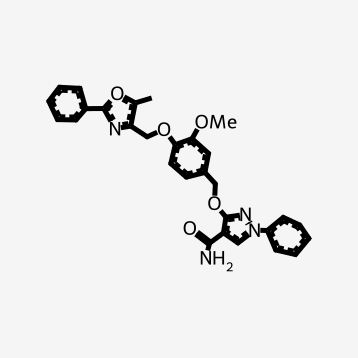 COc1cc(COc2nn(-c3ccccc3)cc2C(N)=O)ccc1OCc1nc(-c2ccccc2)oc1C